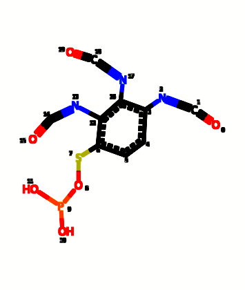 O=C=Nc1ccc(SOP(O)O)c(N=C=O)c1N=C=O